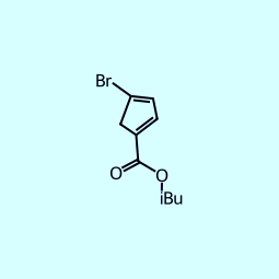 CCC(C)OC(=O)C1=CC=C(Br)C1